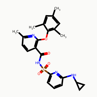 Cc1cc(C)c(Oc2nc(C)ccc2C(=O)NS(=O)(=O)c2cccc(NC3CC3)n2)c(C)c1